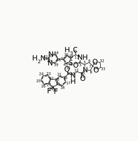 C[C@@H](NC(=O)C1CC2(CN1C(=O)CNC(=O)c1ccc3c(c1)-c1ccccc1C3(F)F)OCCO2)c1cc(-c2cnc(N)nc2)cs1